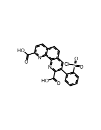 O=C(O)c1ccc2ccc3cc(-c4ccccc4S(=O)(=O)Cl)c(C(=O)O)nc3c2n1